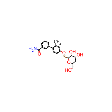 NC(=O)c1cccc(-c2ccc(OSC3O[C@@H](CO)C[C@@H](O)[C@H]3O)cc2C(F)(F)F)c1